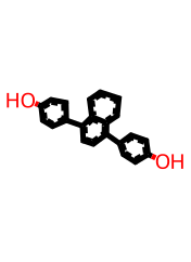 Oc1ccc(-c2ccc(-c3ccc(O)cc3)c3ccccc23)cc1